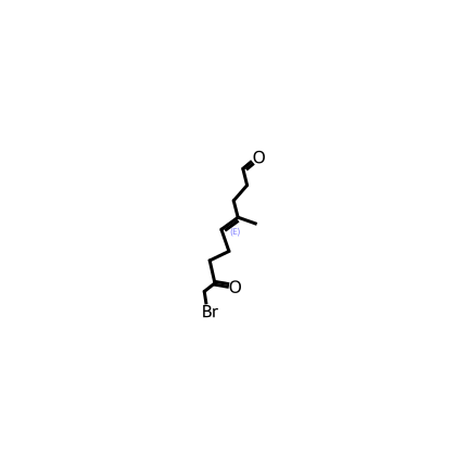 C/C(=C\CCC(=O)CBr)CCC=O